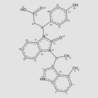 Cc1cccc2[nH]cc(C(C)n3c(=O)n(C(CC(=O)O)c4ccc(O)cc4)c4ccccc43)c12